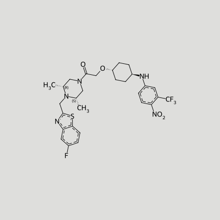 C[C@@H]1CN(C(=O)CO[C@H]2CC[C@H](Nc3ccc([N+](=O)[O-])c(C(F)(F)F)c3)CC2)C[C@H](C)N1Cc1nc2cc(F)ccc2s1